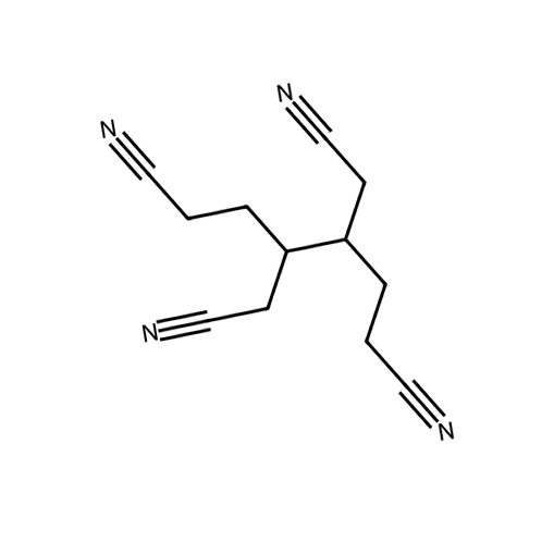 N#CCCC(CC#N)C(CC#N)CCC#N